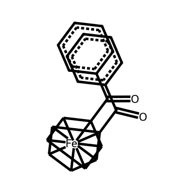 O=C(c1ccccc1)[C]12[CH]3[CH]4[CH]5[CH]1[Fe]45321678[CH]2[CH]1[CH]6[C]7(C(=O)c1ccccc1)[CH]28